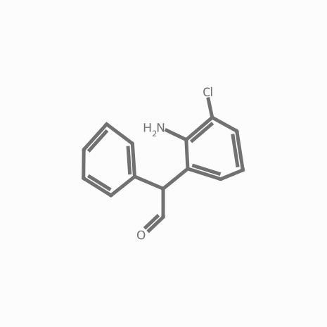 Nc1c(Cl)cccc1C(C=O)c1ccccc1